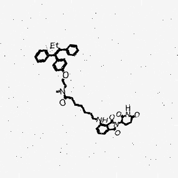 CCC(=C(c1ccccc1)c1ccc(OCCN(C)C(=O)CCCCCCNc2cccc3c2C(=O)N(C2CCC(=O)NC2=O)C3=O)cc1)c1ccccc1